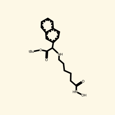 CC(C)(C)OC(=O)C(NCCCCCC(=O)NO)c1ccc2ccccc2c1